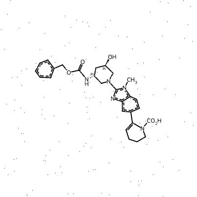 Cn1c(N2C[C@H](O)C[C@@H](NC(=O)OCc3ccccc3)C2)nc2cc(C3=CCCCN3C(=O)O)ccc21